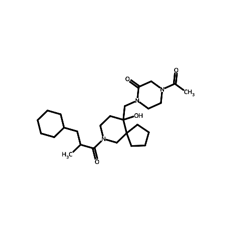 CC(=O)N1CCN(CC2(O)CCN(C(=O)C(C)CC3CCCCC3)CC23CCCC3)C(=O)C1